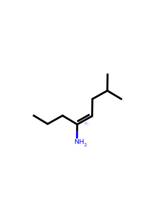 CCC/C(N)=C\CC(C)C